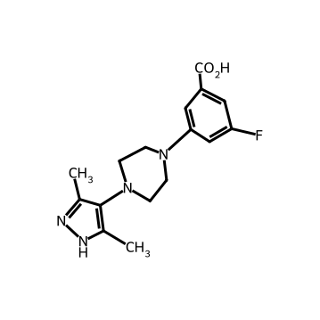 Cc1n[nH]c(C)c1N1CCN(c2cc(F)cc(C(=O)O)c2)CC1